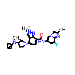 Cc1cn2cc(NC(=O)c3ccc(N4CC[C@@H](N(C)C56CC(C5)C6)C4)c4cn(C)nc34)cc(F)c2n1